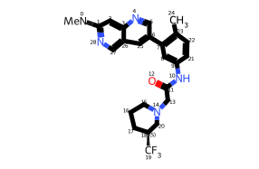 CNc1cc2ncc(-c3cc(NC(=O)CN4CCC[C@H](C(F)(F)F)C4)ccc3C)cc2cn1